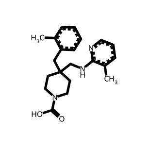 Cc1ccccc1CC1(CNc2ncccc2C)CCN(C(=O)O)CC1